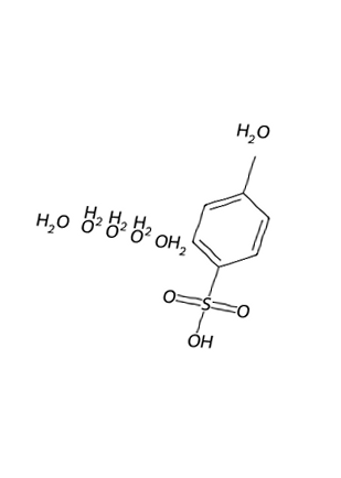 Cc1ccc(S(=O)(=O)O)cc1.O.O.O.O.O.O